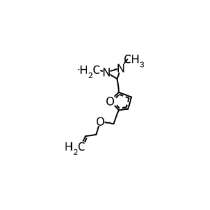 [CH2]N1C(c2ccc(COCC=C)o2)N1C